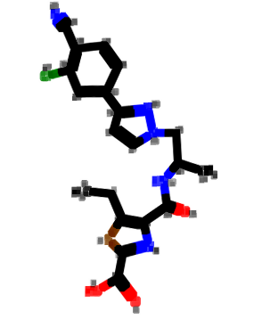 CCc1sc(C(=O)O)nc1C(=O)NC(C)Cn1ccc(-c2ccc(C#N)c(Cl)c2)n1